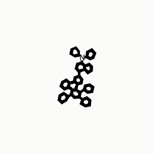 C1=CCCC(N(c2ccccc2)c2ccc(-c3ccc4c(c3)c3ccccc3c3c(-c5ccccc5)cc(-c5ccccc5)c(-c5ccccc5)c43)c3ccccc23)=C1